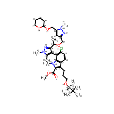 COC(=O)c1c(CCCO[Si](C)(C)C(C)(C)C)c2ccc(Cl)c(-c3c(C(C)OCc4cc(COC5CCCCO5)n(C)n4)nn(C)c3C)c2n1C